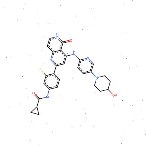 O=C(Nc1ccc(-c2cc(Nc3ccc(N4CCC(O)CC4)cn3)c3c(=O)[nH]ccc3n2)c(F)c1)C1CC1